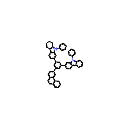 C1=Cc2c(n(-c3ccccc3)c3cc(-c4cc(-c5ccc6ccc7ccccc7c6c5)cc(-c5ccc6c7ccccc7n(-c7ccccc7)c6c5)c4)ccc23)CC1